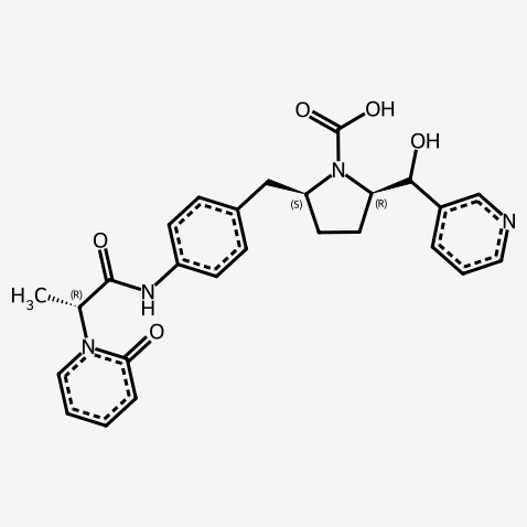 C[C@H](C(=O)Nc1ccc(C[C@@H]2CC[C@H](C(O)c3cccnc3)N2C(=O)O)cc1)n1ccccc1=O